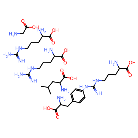 CC(C)CC(N)C(=O)O.N=C(N)NCCCC(N)C(=O)O.N=C(N)NCCCC(N)C(=O)O.N=C(N)NCCCC(N)C(=O)O.NC(Cc1ccccc1)C(=O)O.NCC(=O)O